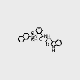 O=CC(Cc1c[nH]c2ccccc12)NC(=O)c1ccccc1NS(=O)(=O)c1ccc2ccccc2c1